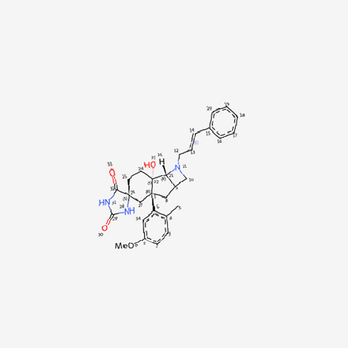 COc1ccc(C)c([C@]23CC4CN(C/C=C/c5ccccc5)[C@H]4[C@]2(O)CC[C@@]2(C3)NC(=O)NC2=O)c1